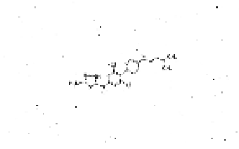 CN(C)CCOc1ccc(-c2c(Cl)cc(NC3N=C(N)NN3)cc2Cl)cc1